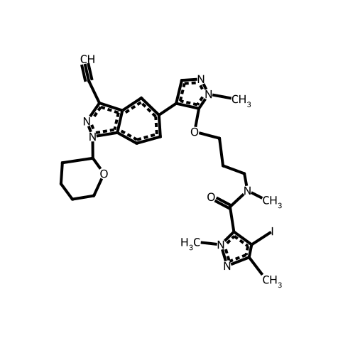 C#Cc1nn(C2CCCCO2)c2ccc(-c3cnn(C)c3OCCCN(C)C(=O)c3c(I)c(C)nn3C)cc12